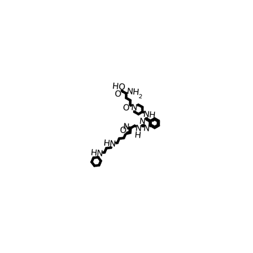 N[C@@H](CCC(=O)N1CCC(Nc2nc(NCc3cc(CCCNCCCNC4CCCCC4)on3)nc3ccccc23)CC1)C(=O)O